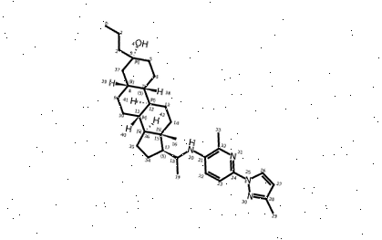 CCC[C@@]1(O)CC[C@H]2[C@H](CC[C@@H]3[C@@H]2CC[C@]2(C)[C@@H](C(C)Nc4ccc(-n5ccc(C)n5)nc4C)CC[C@@H]32)C1